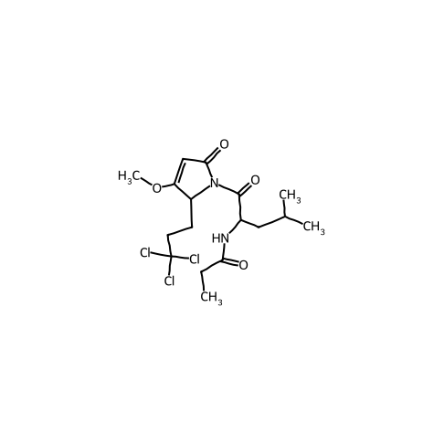 CCC(=O)NC(CC(C)C)C(=O)N1C(=O)C=C(OC)C1CCC(Cl)(Cl)Cl